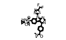 CN(C)C(=O)c1ccc(-c2ncnc3c2c2ccc(S(=O)(=O)NC4(C#N)CC4)cc2n3-c2nnc(C(F)F)s2)cc1